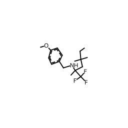 CCC(C)(C)CC(C)(NCc1ccc(OC)cc1)C(F)(F)F